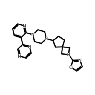 c1cnc(N2CCN(C3CCC4(C3)CN(c3ncco3)C4)CC2)c(-c2cnccn2)c1